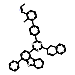 C/C=C\c1cccc(-c2ccc(-c3nc(-c4ccc(-c5ccccc5)c5oc6ccccc6c45)nc(C4C=Cc5ccccc5C4)n3)cc2)c1C